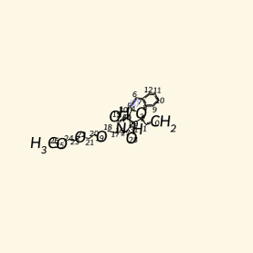 C=CC1OC(/C=C\c2ccccc2)[C@@H]2C(=O)N(CCOCCOCCOC)C(=O)[C@H]12